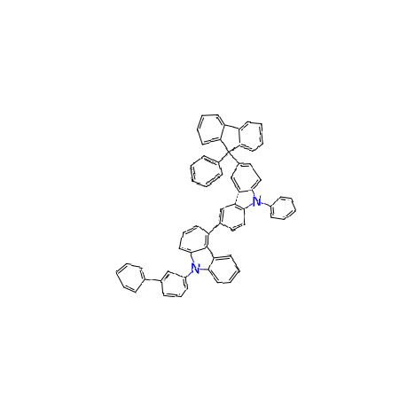 c1ccc(-c2cccc(-n3c4ccccc4c4c(-c5ccc6c(c5)c5cc(C7(c8ccccc8)c8ccccc8-c8ccccc87)ccc5n6-c5ccccc5)cccc43)c2)cc1